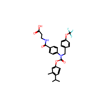 Cc1cc(OC(=O)N(Cc2ccc(OC(F)(F)F)cc2)c2ccc(C(=O)NCCC(=O)O)cc2)ccc1C(C)C